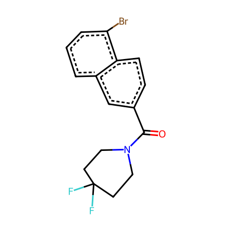 O=C(c1ccc2c(Br)cccc2c1)N1CCC(F)(F)CC1